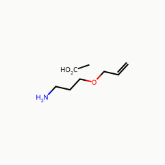 C=CCOCCCN.CC(=O)O